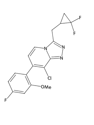 COc1cc(F)ccc1-c1ccn2c(CC3CC3(F)F)nnc2c1Cl